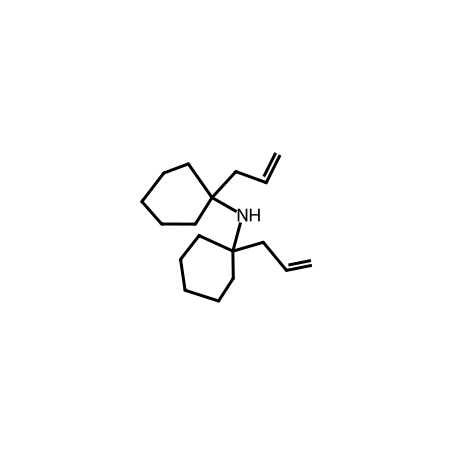 C=CCC1(NC2(CC=C)CCCCC2)CCCCC1